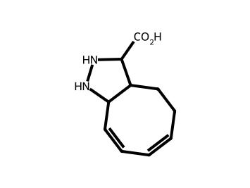 O=C(O)C1NNC2/C=C\C=C/CCC21